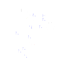 Cc1nc(C)n(CC(=O)N2CCN(c3sc(C(F)(F)F)nc3-c3nc4ccccc4[nH]3)CC2CN(C)C)n1